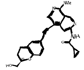 CNc1ncc(C#Cc2ccc3c(c2)CC[C@H](CO)O3)c2cc(NC(=O)C3CC3)ncc12